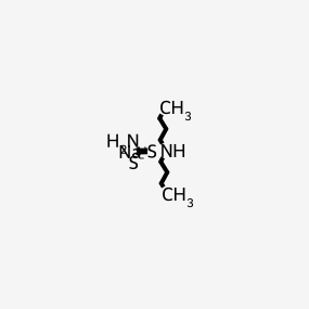 CCCCNCCCC.NC(=S)[S-].[Na+]